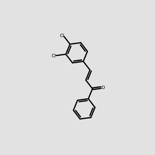 O=C(/C=C/c1ccc(Cl)c(Cl)c1)c1ccccc1